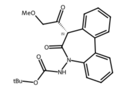 COCC(=O)[C@H]1C(=O)N(NC(=O)OC(C)(C)C)c2ccccc2-c2ccccc21